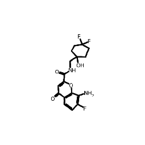 Nc1c(F)ccc2c(=O)cc(C(=O)NCC3(O)CCC(F)(F)CC3)oc12